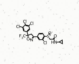 O=C(C[S+]([O-])c1ccc(C2=NOC(c3cc(Cl)c(Cl)c(Cl)c3)(C(F)(F)F)C2)cc1Cl)NC1CC1